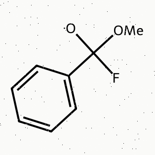 COC([O])(F)c1ccccc1